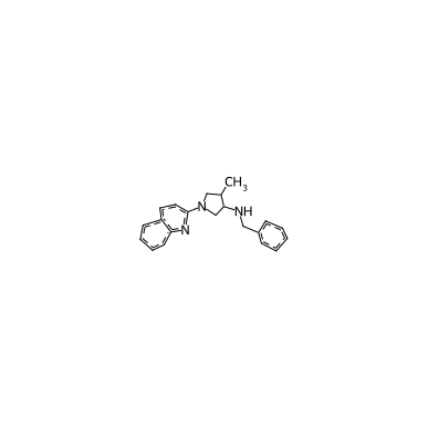 CC1CN(c2ccc3ccccc3n2)CC1NCc1ccccc1